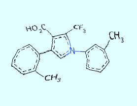 Cc1cccc(-n2cc(-c3ccccc3C)c(C(=O)O)c2C(F)(F)F)c1